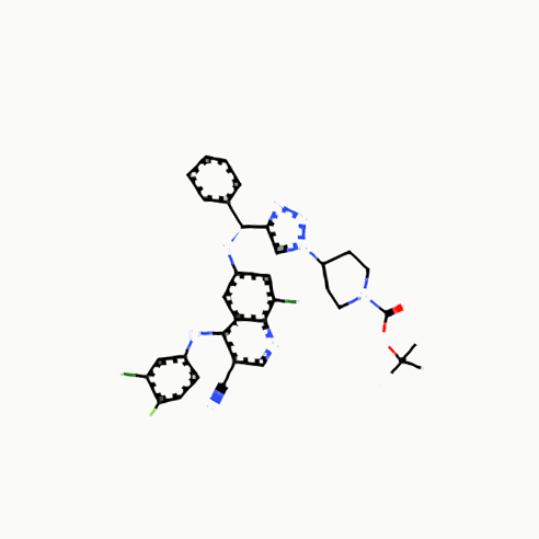 CC(C)(C)OC(=O)N1CCC(n2cc([C@@H](Nc3cc(Cl)c4ncc(C#N)c(Nc5ccc(F)c(Cl)c5)c4c3)c3ccccc3)nn2)CC1